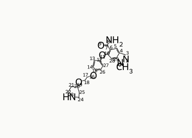 Cn1ncc2cc(C(N)=O)c(Oc3ccc(OCCOC4CCNCC4)cc3)cc21